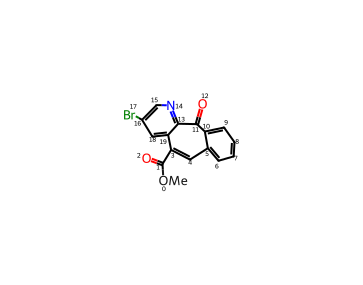 COC(=O)c1cc2ccccc2c(=O)c2ncc(Br)cc12